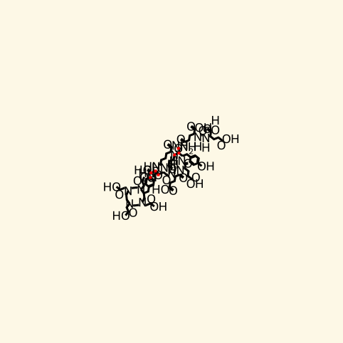 NC(=O)C(CCCCNC(=O)Nc1ccc(CC2CN(CC(=O)O)CCN(CC(=O)O)CCN(CC(=O)O)CCN2CC(=O)O)cc1)NC(=O)C(Cc1ccc(O)cc1)NC(=O)C(CCC(=O)O)NC(=O)C(CCC(=O)O)NC(=O)C(CCC(=O)O)NC(=O)CCCCCNC(=O)CCC(NC(=O)NC(CCC(=O)O)C(=O)O)C(=O)O